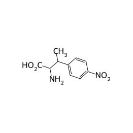 CC(c1ccc([N+](=O)[O-])cc1)C(N)C(=O)O